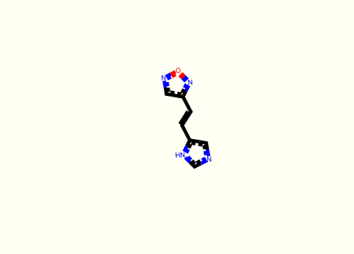 C(=C\c1cnc[nH]1)/c1cnon1